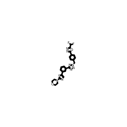 FC(F)c1nnc(-c2ccc(Cn3nnc(-c4cccc(-c5cnc(N6CCOCC6)s5)c4)n3)cc2)o1